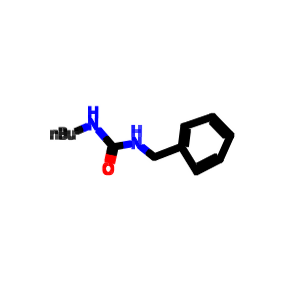 [CH2]CCCNC(=O)NCc1ccccc1